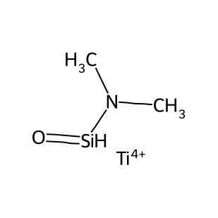 CN(C)[SiH]=O.[Ti+4]